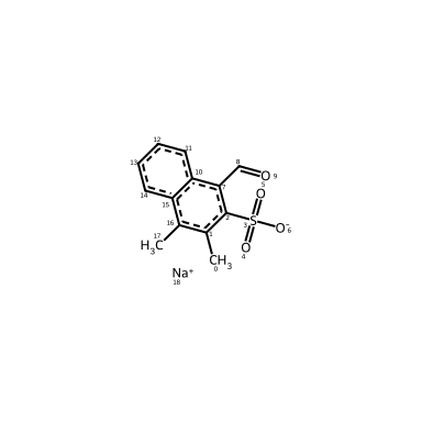 Cc1c(S(=O)(=O)[O-])c(C=O)c2ccccc2c1C.[Na+]